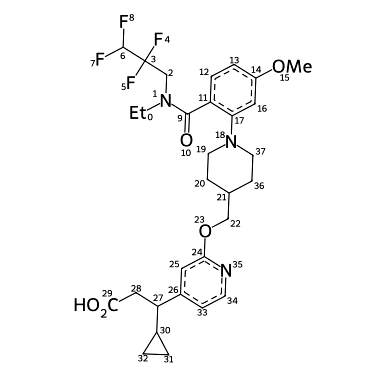 CCN(CC(F)(F)C(F)F)C(=O)c1ccc(OC)cc1N1CCC(COc2cc(C(CC(=O)O)C3CC3)ccn2)CC1